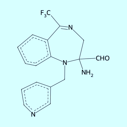 NC1(C=O)CN=C(C(F)(F)F)c2ccccc2N1Cc1cccnc1